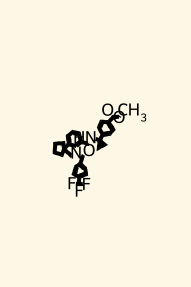 COC(=O)c1ccc(C2(NC(=O)c3cccc4c3N(Cc3ccc(C(F)(F)F)cc3)CC43CCCC3)CC2)cc1